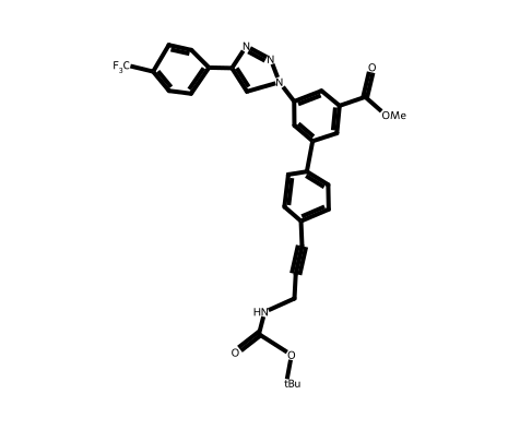 COC(=O)c1cc(-c2ccc(C#CCNC(=O)OC(C)(C)C)cc2)cc(-n2cc(-c3ccc(C(F)(F)F)cc3)nn2)c1